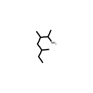 CCC(I)CC(C)C(C)N